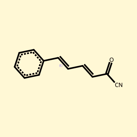 N#CC(=O)C=C/C=C/c1ccccc1